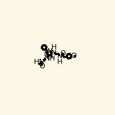 COc1ccc(CC(=O)NCCNc2nc(-c3ccccc3)nc(NCCNC(C)=O)c2C)cc1